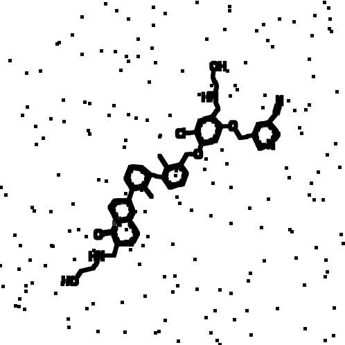 Cc1c(COc2cc(OCc3cncc(C#N)c3)c(CNCCO)cc2Cl)cccc1-c1cccc(-c2ccn3c(=O)c(CNCCO)ccc3c2)c1C